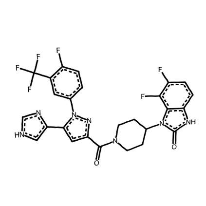 O=C(c1cc(-c2c[nH]cn2)n(-c2ccc(F)c(C(F)(F)F)c2)n1)N1CCC(n2c(=O)[nH]c3ccc(F)c(F)c32)CC1